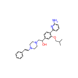 CC(C)COc1cc(C(O)CN2CCN(C=Cc3ccccc3)CC2)ccc1-c1cccc(N)n1